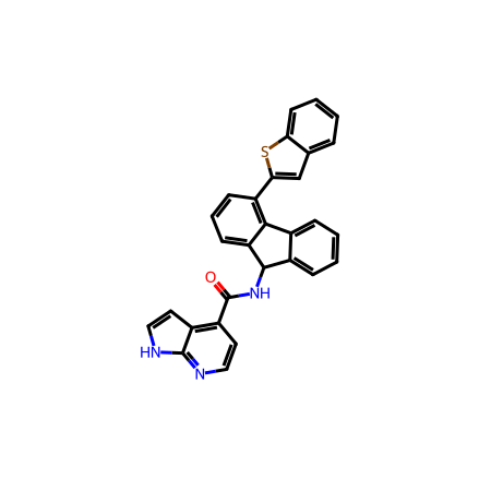 O=C(NC1c2ccccc2-c2c(-c3cc4ccccc4s3)cccc21)c1ccnc2[nH]ccc12